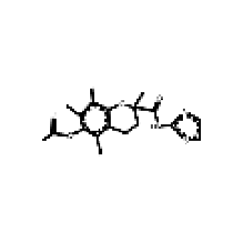 CC(=O)Oc1c(C)c(C)c2c(c1C)CCC(C)(C(=O)Nc1nccs1)O2